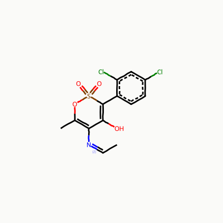 C/C=N\C1=C(C)OS(=O)(=O)C(c2ccc(Cl)cc2Cl)=C1O